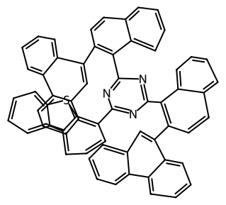 c1ccc2c(-c3nc(-c4c(-c5cc6ccccc6c6ccccc56)ccc5ccccc45)nc(-c4cccc5c4sc4ccccc45)n3)c(-c3cc4ccccc4c4ccccc34)ccc2c1